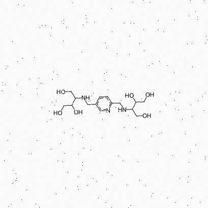 OCC(O)C(CO)NCc1ccc(CNC(CO)C(O)CO)nc1